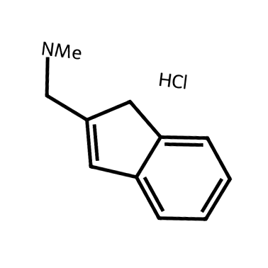 CNCC1=Cc2ccccc2C1.Cl